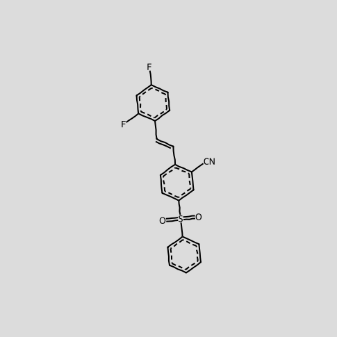 N#Cc1cc(S(=O)(=O)c2ccccc2)ccc1/C=C/c1ccc(F)cc1F